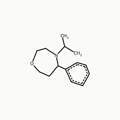 CC(C)N1CCOCCC1c1ccccc1